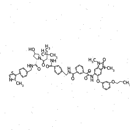 CCCOc1cccc(Oc2cc3c(cc2NS(=O)(=O)c2cccc(C(=O)NCc4ccc(C(=O)N[C@H](C(=O)N5CC(O)C[C@H]5C(=O)NCc5ccc(-c6scnc6C)cc5)C(C)(C)C)cc4)c2)n(C)c(=O)n3C)c1